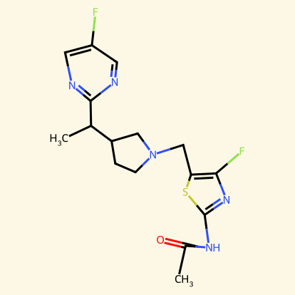 CC(=O)Nc1nc(F)c(CN2CCC(C(C)c3ncc(F)cn3)C2)s1